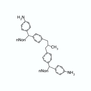 CCCCCCCCCC(c1ccc(N)cc1)c1ccc(CC(C)Cc2ccc(C(CCCCCCCCC)c3ccc(N)cc3)cc2)cc1